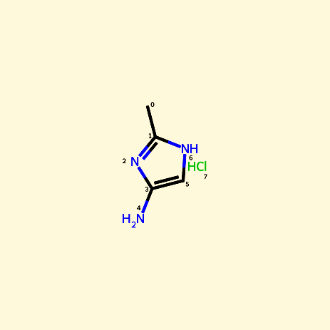 Cc1nc(N)c[nH]1.Cl